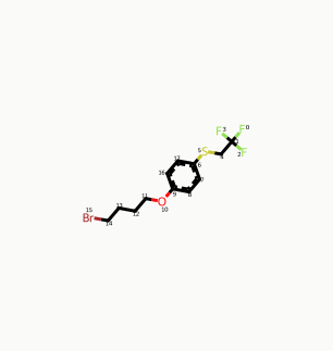 FC(F)(F)CSc1ccc(OCCCCBr)cc1